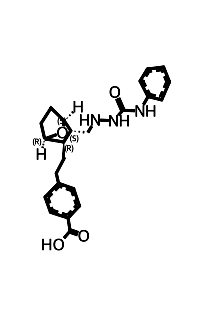 O=C(NNC[C@@H]1[C@@H](CCc2ccc(C(=O)O)cc2)[C@H]2CC[C@@H]1O2)Nc1ccccc1